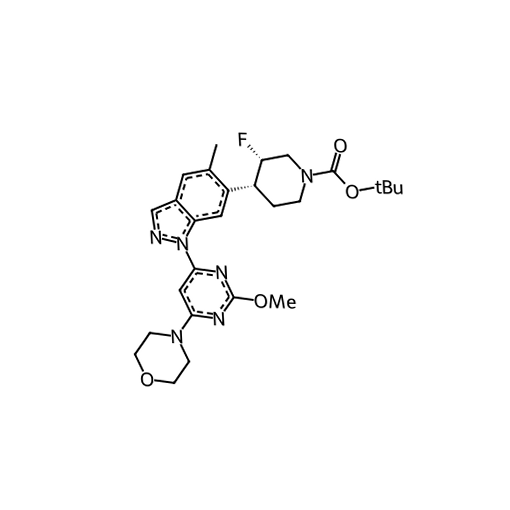 COc1nc(N2CCOCC2)cc(-n2ncc3cc(C)c([C@H]4CCN(C(=O)OC(C)(C)C)C[C@H]4F)cc32)n1